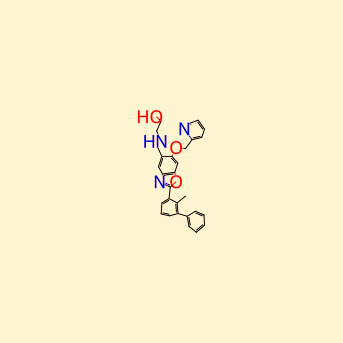 Cc1c(-c2ccccc2)cccc1-c1nc2cc(CNCCO)c(OCc3ccccn3)cc2o1